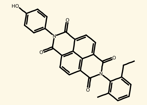 CCc1cccc(C)c1N1C(=O)c2ccc3c4c(ccc(c24)C1=O)C(=O)N(c1ccc(O)cc1)C3=O